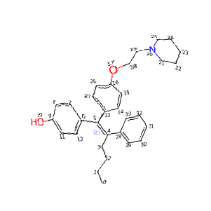 CCCC/C(=C(\c1ccc(O)cc1)c1ccc(OCCN2CCCCC2)cc1)c1ccccc1